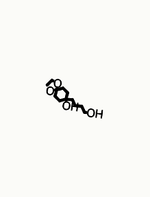 OCCCCC1(O)CCC2(CC1)OCCO2